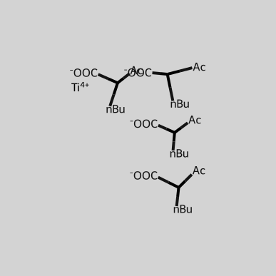 CCCCC(C(C)=O)C(=O)[O-].CCCCC(C(C)=O)C(=O)[O-].CCCCC(C(C)=O)C(=O)[O-].CCCCC(C(C)=O)C(=O)[O-].[Ti+4]